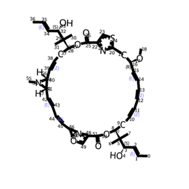 C/C=C/[C@H](O)C(C)(C)[C@@H]1C\C=C/C=C\C=C\[C@H](OC)Cc2nc(cs2)C(=O)O[C@H](C(C)(C)[C@@H](O)/C=C/C)C/C=C\[C@@H]2[C@H](/C=C/C=C\c3nc(co3)C(=O)O1)N2C